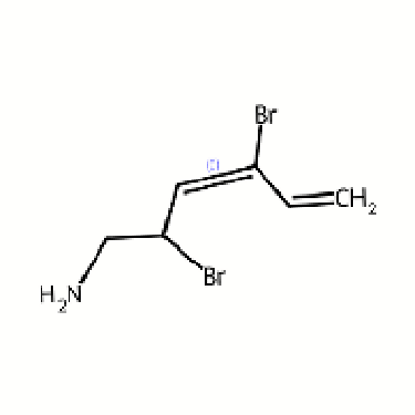 C=C/C(Br)=C\C(Br)CN